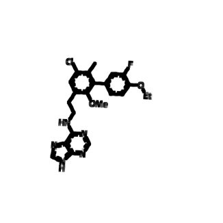 CCOc1ccc(-c2c(C)c(Cl)cc(CCNc3ncnc4[nH]cnc34)c2OC)cc1F